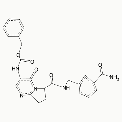 NC(=O)c1cccc(CNC(=O)C2CCc3ncc(NC(=O)OCc4ccccc4)c(=O)n32)c1